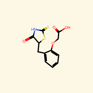 O=C(O)COc1ccccc1CC1SC(=S)NC1=O